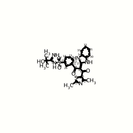 Cc1nc(C)c(C(=O)C(C(=O)c2cccc(S(=O)(=O)NC(=N)C(C)(C)O)c2)=C2Nc3ccccc3N2)s1